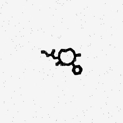 CC(C)(C)OC(=O)CC1C/C=C/CCC(=O)OC(c2ccccc2)CNC1=O